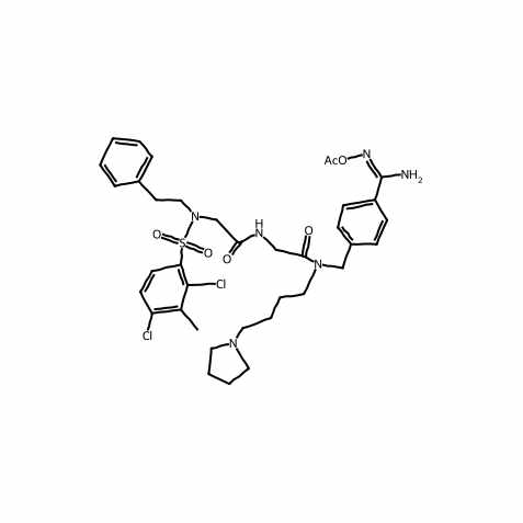 CC(=O)O/N=C(/N)c1ccc(CN(CCCCN2CCCC2)C(=O)CNC(=O)CN(CCc2ccccc2)S(=O)(=O)c2ccc(Cl)c(C)c2Cl)cc1